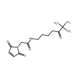 CC(C)(C)C(=O)CCCCNC(=O)CN1C(=O)C=CC1=O